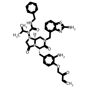 C=CC(=O)COc1ccc(C[C@H]2C(=O)N(Cc3cccc4sc(N)nc34)C[C@H]3N2C(=O)CN3N(C(=O)NCc2ccccc2)C(C)C)cc1N